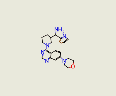 NC(c1nccs1)C1CCCN(c2ncnc3cc(N4CCOCC4)ccc23)C1